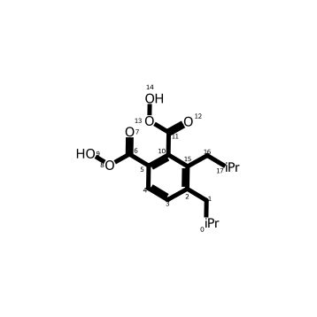 CC(C)Cc1ccc(C(=O)OO)c(C(=O)OO)c1CC(C)C